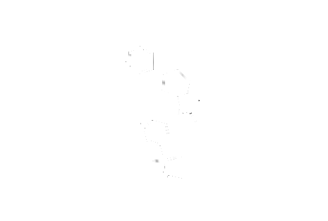 CNS(=O)(=O)c1cncc(N2C(=O)C(C)(C)c3ccc(-c4cnc(C)nc4)cc32)c1